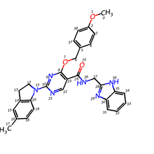 COc1ccc(COc2nc(N3CCc4cc(C)ccc43)ncc2C(=O)NCc2nc3ccccc3[nH]2)cc1